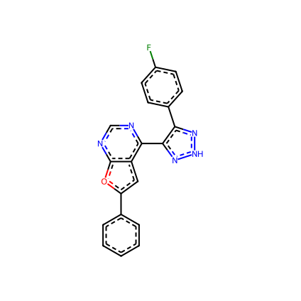 Fc1ccc(-c2n[nH]nc2-c2ncnc3oc(-c4ccccc4)cc23)cc1